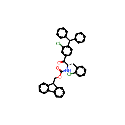 O=C(N[C@@H](Cc1ccccc1Cl)C(=O)c1ccc([C](c2ccccc2)c2ccccc2)c(Cl)c1)OCC1c2ccccc2-c2ccccc21